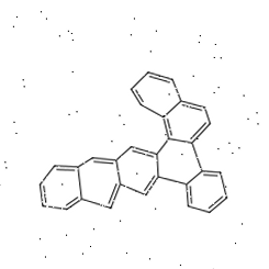 c1ccc2cc3cc4c(cc3cc2c1)c1ccccc1c1ccc2ccccc2c14